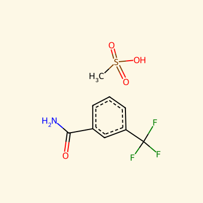 CS(=O)(=O)O.NC(=O)c1cccc(C(F)(F)F)c1